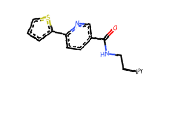 CC(C)CCNC(=O)c1ccc(-c2cccs2)nc1